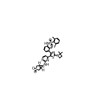 Cc1cccc(F)c1S(=O)(=O)Nc1cccc(-c2nc(N3CCC3(C)C)sc2-c2ccnc(N[C@H]3[C@@H]4CS(=O)(=O)C[C@@H]43)n2)c1F